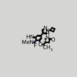 CN/C(F)=C1\C(=N)C=C(c2cnn(C3CCC3)c2)C=C1O[C@H](C)[C@H]1CNC(=O)C1